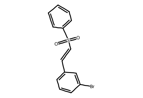 O=S(=O)(/C=C/c1cccc(Br)c1)c1ccccc1